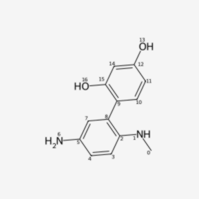 CNc1ccc(N)cc1-c1ccc(O)cc1O